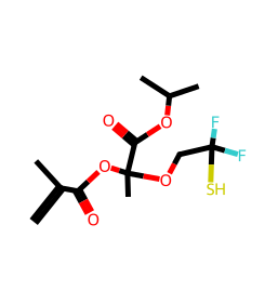 C=C(C)C(=O)OC(C)(OCC(F)(F)S)C(=O)OC(C)C